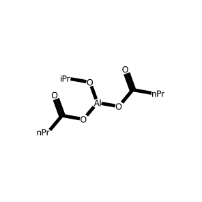 CCCC(=O)[O][Al]([O]C(=O)CCC)[O]C(C)C